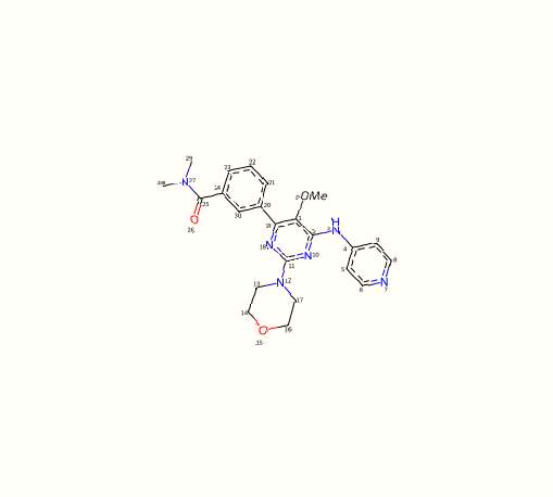 COc1c(Nc2ccncc2)nc(N2CCOCC2)nc1-c1cccc(C(=O)N(C)C)c1